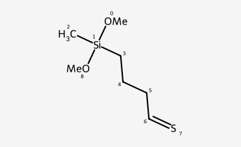 CO[Si](C)(CCCC=S)OC